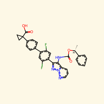 C[C@@H](OC(=O)Nc1c(-c2cc(F)c(-c3ccc(C4(C(=O)O)CC4)cc3)cc2F)nn2ncccc12)c1ccccc1